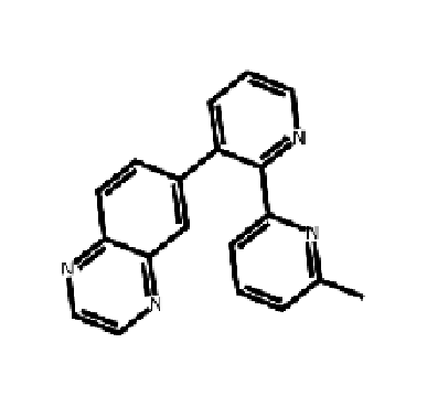 Cc1cccc(-c2ncccc2-c2ccc3nccnc3c2)n1